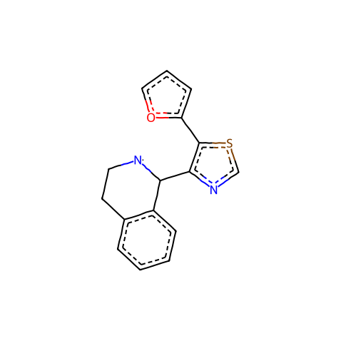 c1coc(-c2scnc2C2[N]CCc3ccccc32)c1